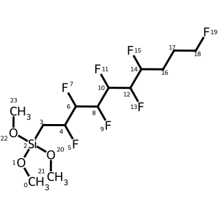 CO[Si](CC(F)C(F)C(F)C(F)C(F)C(F)CCCF)(OC)OC